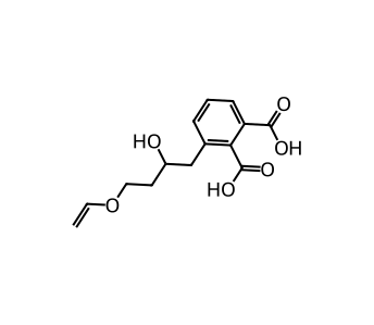 C=COCCC(O)Cc1cccc(C(=O)O)c1C(=O)O